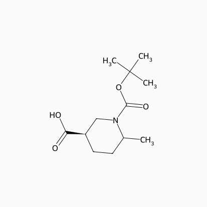 CC1CC[C@@H](C(=O)O)CN1C(=O)OC(C)(C)C